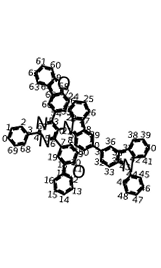 c1ccc(-c2nc(-c3ccc4oc5ccccc5c4c3)c(-n3c4ccccc4c4cc(-c5ccc6c(c5)c5ccccc5n6-c5ccccc5)ccc43)c(-c3ccc4oc5ccccc5c4c3)n2)cc1